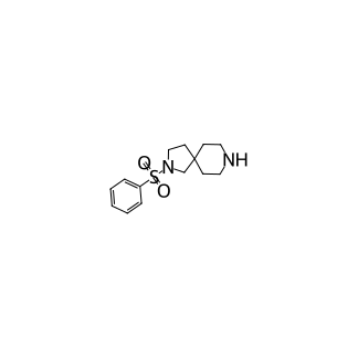 O=S(=O)(c1ccccc1)N1CCC2(CCNCC2)C1